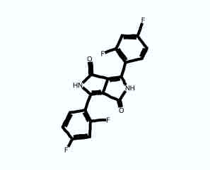 O=C1NC(c2ccc(F)cc2F)=C2C(=O)NC(c3ccc(F)cc3F)=C12